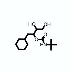 CC(C)(C)NC(=O)OC(CC1CCCCC1)C(O)CO